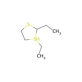 CCC1SCC[SH]1CC